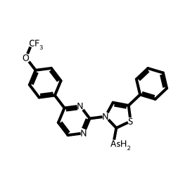 FC(F)(F)Oc1ccc(-c2ccnc(N3C=C(c4ccccc4)SC3[AsH2])n2)cc1